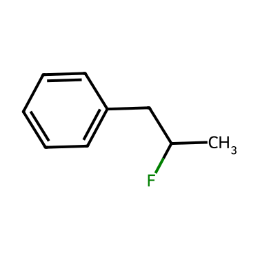 CC(F)Cc1ccccc1